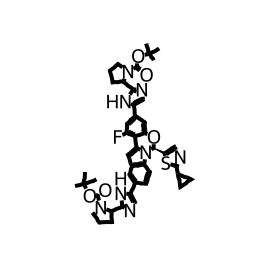 CC(C)(C)OC(=O)N1CCCC1c1ncc(-c2cc(F)c3c(c2)O[C@@H](c2cnc(C4CC4)s2)n2c-3cc3cc(-c4cnc(C5CCCN5C(=O)OC(C)(C)C)[nH]4)ccc32)[nH]1